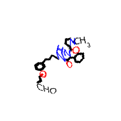 CN1CCCC1C(=O)NC(C(=O)NCCCCc1cccc(OCCCC=O)c1)C1CCCCC1